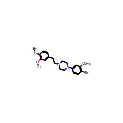 CCOc1ccc(CCN2CCN(c3ccc(Br)c(OC)c3)CC2)cc1OCC